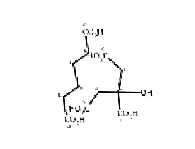 O=C(O)CC(O)(CC(=O)O)C(=O)O.O=C(O)CCCCC(=O)O